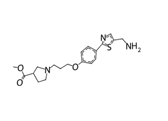 COC(=O)C1CCN(CCCOc2ccc(-c3ncc(CN)s3)cc2)C1